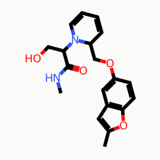 CNC(=O)C(CO)N1C=CC=CC1COc1ccc2oc(C)cc2c1